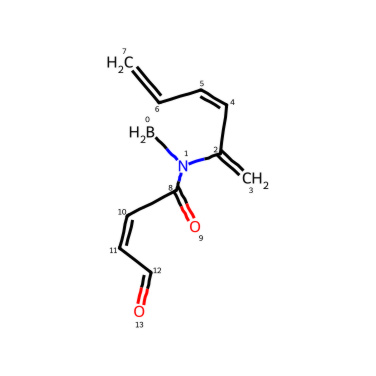 BN(C(=C)/C=C\C=C)C(=O)/C=C\C=O